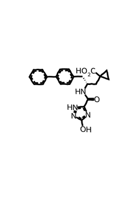 O=C(N[C@H](Cc1ccc(-c2ccccc2)cc1)CC1(C(=O)O)CC1)c1nc(O)n[nH]1